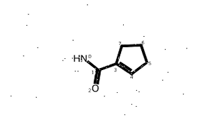 [NH]C(=O)C1=CCCC1